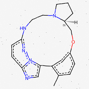 Cc1ccc2cc1-c1cnc3ccc(nn13)NCCN1CCC[C@H]1CO2